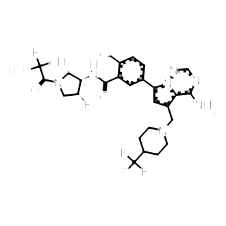 CC(C)(F)C(=O)N1C[C@H](F)[C@H](NC(=O)c2cc(-c3cc(CN4CCC(C(F)(F)F)CC4)c4c(N)ncnn34)ccc2Cl)C1